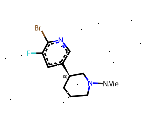 CNN1CCC[C@@H](c2cnc(Br)c(F)c2)C1